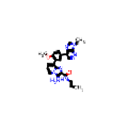 CCCNC(=O)c1nc2c(-c3cc(-c4cnnc5c4ncn5CC)ccc3OC)cccn2c1N